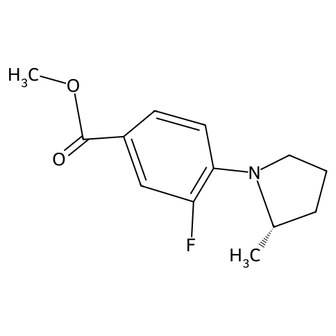 COC(=O)c1ccc(N2CCC[C@@H]2C)c(F)c1